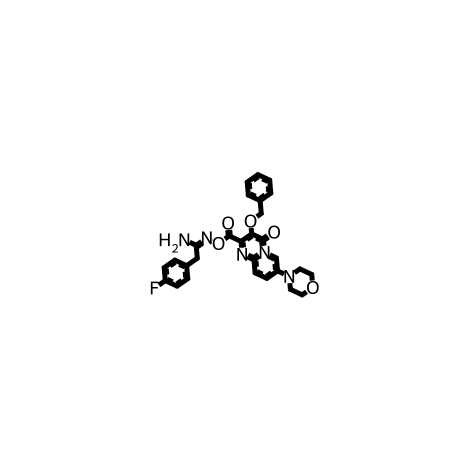 N/C(Cc1ccc(F)cc1)=N/OC(=O)c1nc2ccc(N3CCOCC3)cn2c(=O)c1OCc1ccccc1